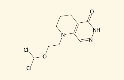 O=c1[nH]ncc2c1CCCN2CCOC(Cl)Cl